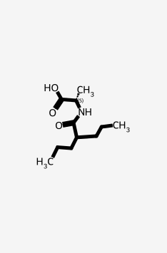 CCCC(CCC)C(=O)N[C@@H](C)C(=O)O